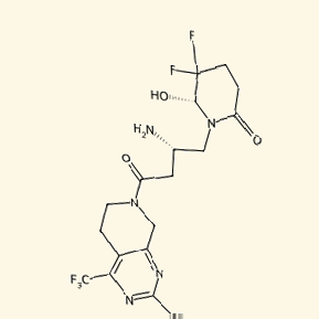 N[C@@H](CC(=O)N1CCc2c(nc(C(F)(F)F)nc2C(F)(F)F)C1)CN1C(=O)CCC(F)(F)[C@H]1O